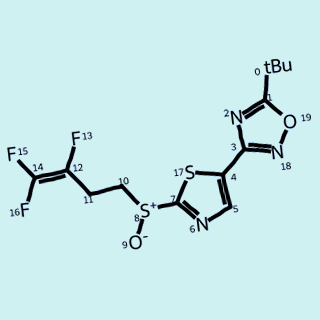 CC(C)(C)c1nc(-c2cnc([S+]([O-])CCC(F)=C(F)F)s2)no1